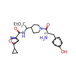 CCOC(=O)C(NC(=O)c1cc(C2CC2)on1)C1CCN(C(=O)[C@@H](N)Cc2ccc(O)cc2)CC1